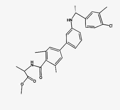 COC(=O)C(C)NC(=O)c1c(C)cc(-c2cccc(N[C@H](C)c3ccc(Cl)c(C)c3)c2)cc1C